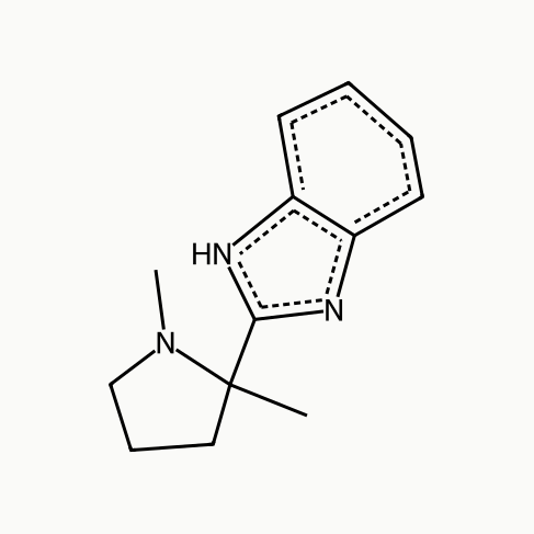 CN1CCCC1(C)c1nc2ccccc2[nH]1